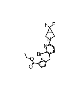 CCOC(=O)c1ccc(Cc2ccc(N3CC4C(C3)C4(F)F)nc2Br)s1